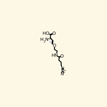 [N-]=[N+]=NCCCC(=O)NCCO/C=C/[C@H](N)C(=O)O